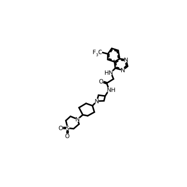 O=C(CNc1ncnc2ccc(C(F)(F)F)cc12)NC1CN(C2CCC(N3CCS(=O)(=O)CC3)CC2)C1